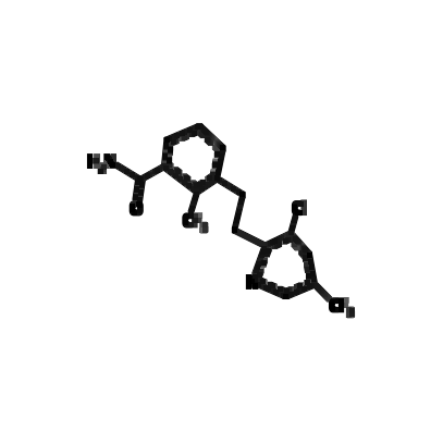 NC(=O)c1cccc(CCc2ncc(C(F)(F)F)cc2Cl)c1C(F)(F)F